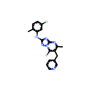 Cc1ccc(Cl)cc1Nc1nc2nc(C)c(Cc3cccnc3)c(Cl)n2n1